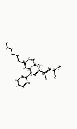 CCCCCCc1ccc2nc(/C(C)=C/C(=O)O)cc(-c3ccccc3)c2c1